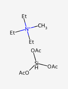 CC(=O)O[SiH](OC(C)=O)OC(C)=O.CC[N+](C)(CC)CC